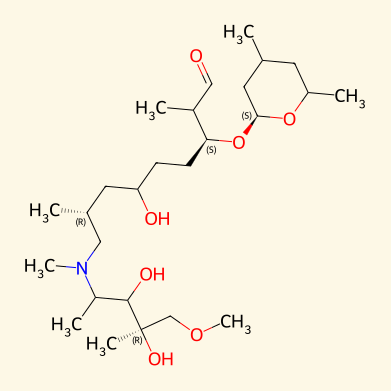 COC[C@@](C)(O)C(O)C(C)N(C)C[C@H](C)CC(O)CC[C@H](O[C@H]1CC(C)CC(C)O1)C(C)C=O